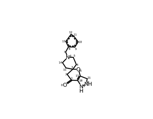 O=C1CC2(CCN(Cc3ccccc3)CC2)OC2=C1NNC2